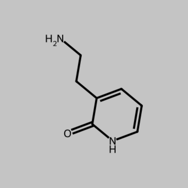 NCCc1ccc[nH]c1=O